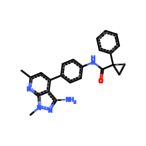 Cc1cc(-c2ccc(NC(=O)C3(c4ccccc4)CC3)cc2)c2c(N)nn(C)c2n1